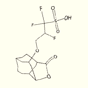 O=C1OC2C3CC(CC13)C2OCC(F)C(F)(F)S(=O)(=O)O